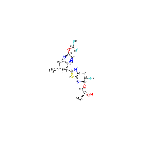 Cc1cc(-c2nc3cc(F)c(OCC(C)O)nc3s2)c2ncc(OC(F)F)nc2c1